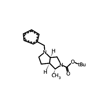 C[C@@H]1[C@H]2CCN(Cc3ccccc3)[C@H]2CN1C(=O)OC(C)(C)C